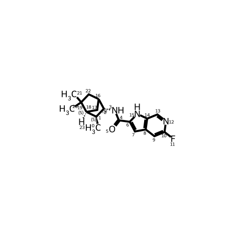 C[C@@H]1[C@@H](NC(=O)c2cc3cc(F)ncc3[nH]2)C2C[C@@H]1C(C)(C)C2